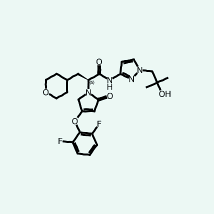 CC(C)(O)Cn1ccc(NC(=O)[C@H](CC2CCOCC2)N2CC(Oc3c(F)cccc3F)=CC2=O)n1